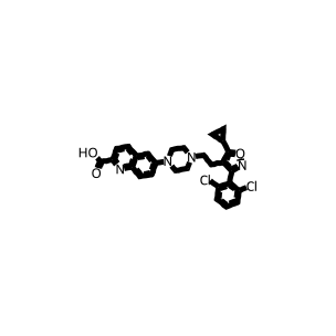 O=C(O)c1ccc2cc(N3CCN(CCc4c(-c5c(Cl)cccc5Cl)noc4C4CC4)CC3)ccc2n1